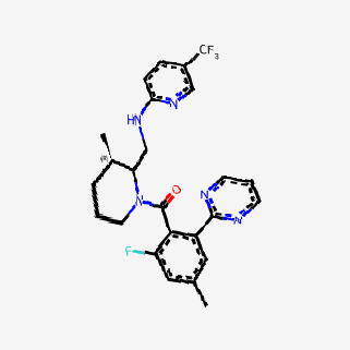 Cc1cc(F)c(C(=O)N2CCC[C@@H](C)C2CNc2ccc(C(F)(F)F)cn2)c(-c2ncccn2)c1